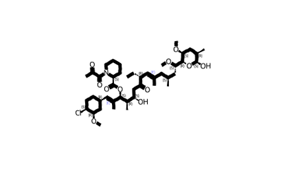 CC[C@H](/C=C(\C)C[C@H](C)C[C@H](OC)[C@H]1O[C@H](O)[C@H](C)C[C@@H]1OC)C(=O)C[C@H](O)[C@@H](C)[C@H](OC(=O)[C@@H]1CCCCN1C(=O)C(C)=O)/C(C)=C/[C@@H]1CC[C@H](Cl)[C@H](OC)C1